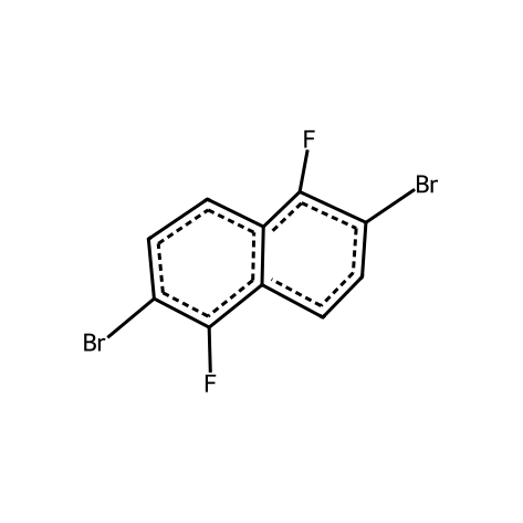 Fc1c(Br)ccc2c(F)c(Br)ccc12